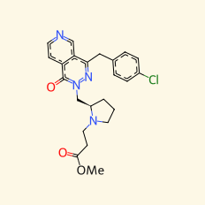 COC(=O)CCN1CCC[C@@H]1Cn1nc(Cc2ccc(Cl)cc2)c2cnccc2c1=O